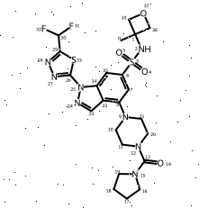 CC1(NS(=O)(=O)c2cc(N3CCN(C(=O)N4CCCC4)CC3)c3cnn(-c4nnc(C(F)F)s4)c3c2)COC1